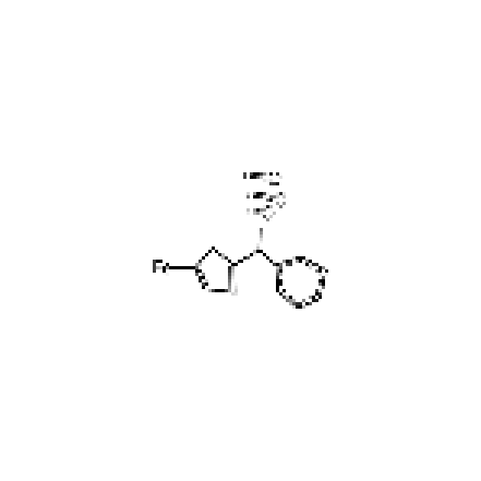 CC(C1=CC=[C]([Fe])C1)c1ccccc1.[C]=O.[C]=O.[C]=O